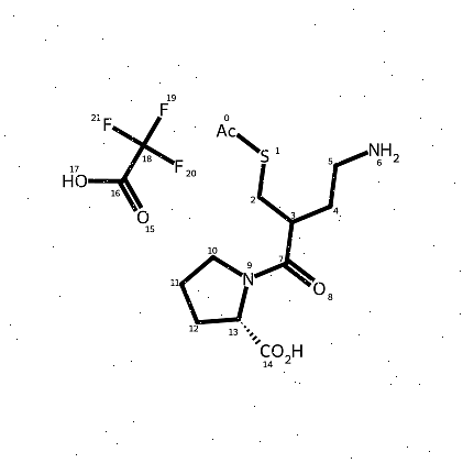 CC(=O)SCC(CCN)C(=O)N1CCC[C@H]1C(=O)O.O=C(O)C(F)(F)F